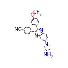 N#Cc1ccc(-c2nc3cc(N4CC[C@H](N)C4)ccc3nc2-c2ccc(OC(F)(F)F)cc2)cc1